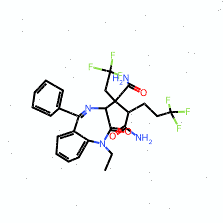 CCN1C(=O)C(C(CC(F)(F)F)(C(N)=O)C(CCC(F)(F)F)C(N)=O)N=C(c2ccccc2)c2ccccc21